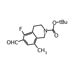 Cc1cc(C=O)c(F)c2c1CN(C(=O)OC(C)(C)C)CC2